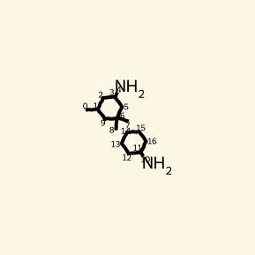 CC1CC(N)CC(C)(C)C1.NC1CCCCC1